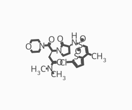 CC(=CS(=O)(=O)N[C@H]1CCN([C@@H](CC(=O)N(C)C)C(=O)N2CCOCC2)C1=O)c1ccc(Cl)s1